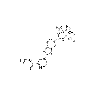 COC(=O)c1cc(-c2nc3cc(B4OC(C)(C)C(C)(C)O4)ccc3o2)ccn1